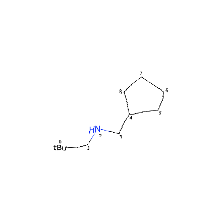 CC(C)(C)CNCC1CCCC1